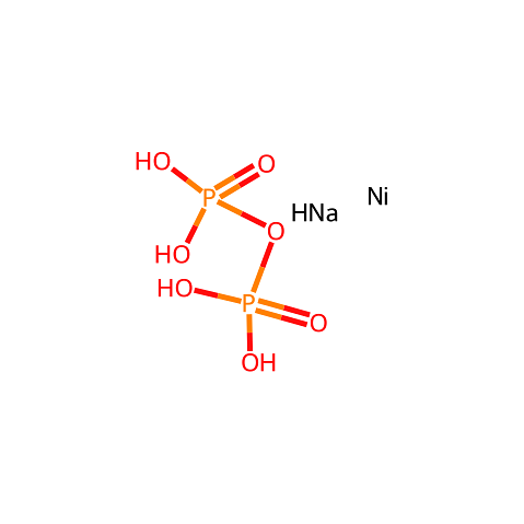 O=P(O)(O)OP(=O)(O)O.[NaH].[Ni]